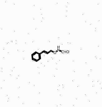 O=[C]NOC/C=C/c1ccccc1